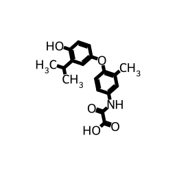 Cc1cc(NC(=O)C(=O)O)ccc1Oc1ccc(O)c(C(C)C)c1